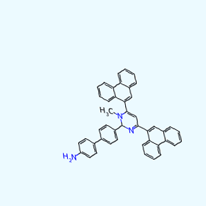 CN1C(c2cc3ccccc3c3ccccc23)=CC(c2cc3ccccc3c3ccccc23)=NC1c1ccc(-c2ccc(N)cc2)cc1